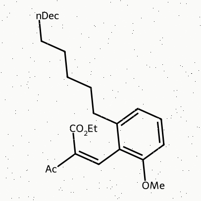 CCCCCCCCCCCCCCCc1cccc(OC)c1C=C(C(C)=O)C(=O)OCC